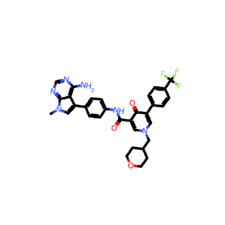 Cn1cc(-c2ccc(NC(=O)c3cn(CC4CCOCC4)cc(-c4ccc(C(F)(F)F)cc4)c3=O)cc2)c2c(N)ncnc21